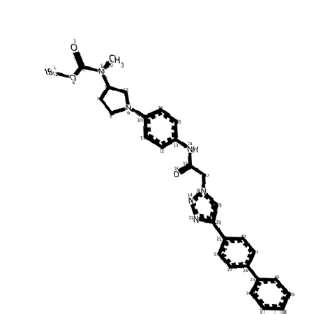 CN(C(=O)OC(C)(C)C)C1CCN(c2ccc(NC(=O)Cn3cc(-c4ccc(-c5ccccc5)cc4)nn3)cc2)C1